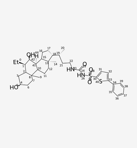 CC[C@@H]1C2C[C@H](O)CCC2(C)C2CC[C@@]3(C)C(CC[C@@H]3[C@H](C)CCNC(=O)NS(=O)(=O)c3ccc(-c4ccccc4)s3)[C@@H]2[C@@H]1O